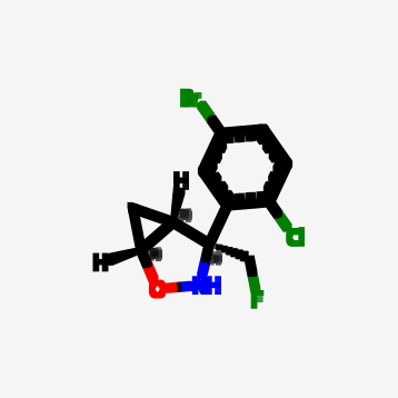 FC[C@]1(c2cc(Br)ccc2Cl)NO[C@@H]2C[C@@H]21